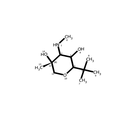 CNC1C(O)C(C(C)(C)C)OC[C@]1(C)O